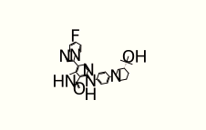 CC(C)(O)[C@@H]1CCCN(c2ccc(Nc3ncc(-c4cnc5cc(F)ccn45)c4c3C(=O)NC4)cc2)C1